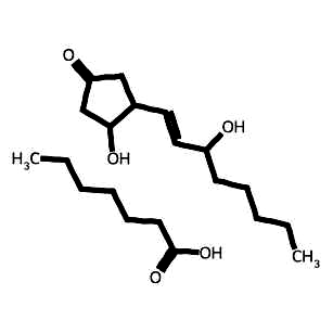 CCCCCC(O)/C=C/C1CC(=O)CC1O.CCCCCCC(=O)O